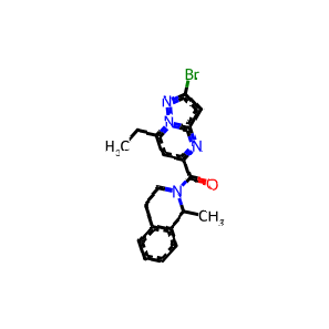 CCc1cc(C(=O)N2CCc3ccccc3C2C)nc2cc(Br)nn12